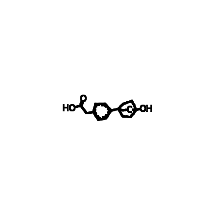 O=C(O)Cc1ccc(C23CCC(O)(CC2)CC3)cc1